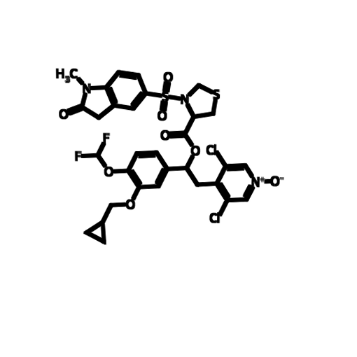 CN1C(=O)Cc2cc(S(=O)(=O)N3CSCC3C(=O)OC(Cc3c(Cl)c[n+]([O-])cc3Cl)c3ccc(OC(F)F)c(OCC4CC4)c3)ccc21